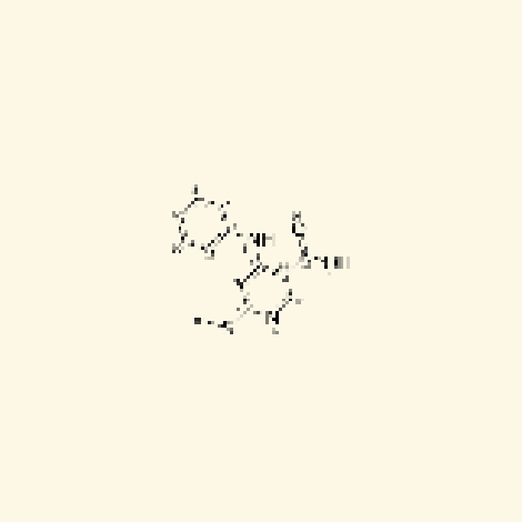 CSc1cc(Nc2ccccc2)c(C(=O)O)cn1